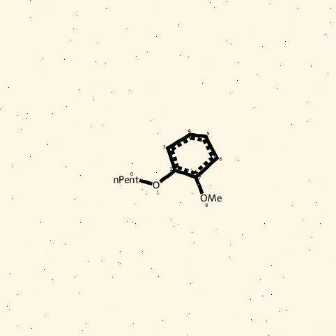 [CH2]CCCCOc1ccccc1OC